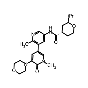 Cc1ncc(NC(=O)[C@H]2CCO[C@H](C(C)C)C2)cc1-c1cc(N2CCOCC2)c(=O)n(C)c1